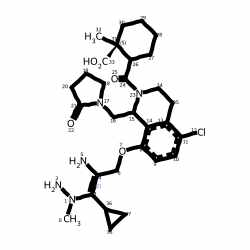 CN(N)/C(=C(\N)COc1ccc(Cl)c2c1C(CN1CCCC1=O)N(C(=O)C1CCCC[C@]1(C)C(=O)O)CC2)C1CC1